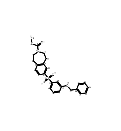 CC(C)(C)OC(=O)N1CCc2ccc(S(=O)(=O)c3cccc(OCc4ccccc4)c3)cc2CC1